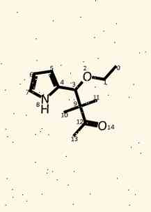 CCOC(c1ccc[nH]1)C(C)(C)C(C)=O